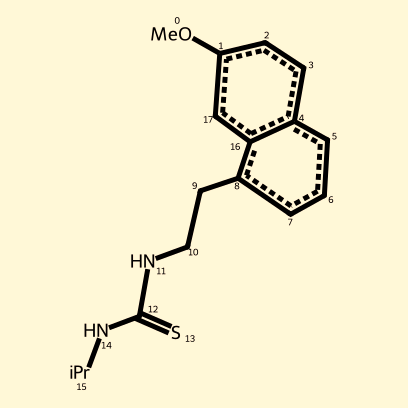 COc1ccc2cccc(CCNC(=S)NC(C)C)c2c1